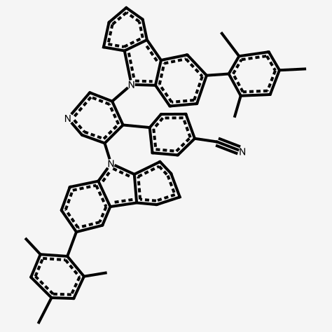 Cc1cc(C)c(-c2ccc3c(c2)c2ccccc2n3-c2cncc(-n3c4ccccc4c4cc(-c5c(C)cc(C)cc5C)ccc43)c2-c2ccc(C#N)cc2)c(C)c1